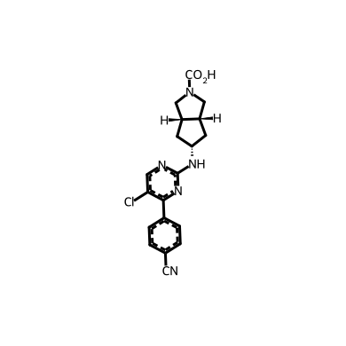 N#Cc1ccc(-c2nc(N[C@@H]3C[C@@H]4CN(C(=O)O)C[C@@H]4C3)ncc2Cl)cc1